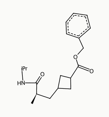 CC(C)NC(=O)[C@H](C)CC1CC(C(=O)OCc2ccccc2)C1